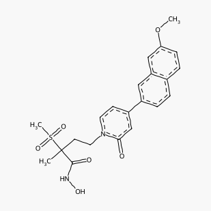 COc1ccc2ccc(-c3ccn(CCC(C)(C(=O)NO)S(C)(=O)=O)c(=O)c3)cc2c1